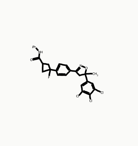 CC(C)NC(=O)C1CC(F)(c2ccc(C3=NOC(C)(c4cc(Cl)c(Cl)c(Cl)c4)C3)cc2)C1